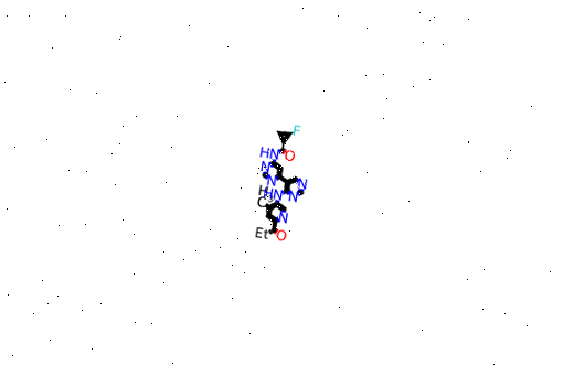 CCC(=O)c1cc(C)c(Nc2ncncc2-c2cc(NC(=O)[C@H]3C[C@H]3F)ncn2)cn1